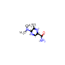 CCc1nc(C(N)=O)cnc1N(C)C